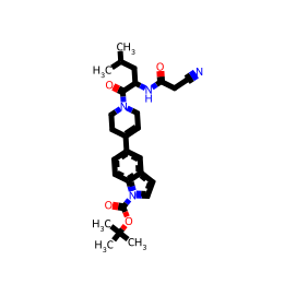 CC(C)CC(NC(=O)CC#N)C(=O)N1CC=C(c2ccc3c(ccn3C(=O)OC(C)(C)C)c2)CC1